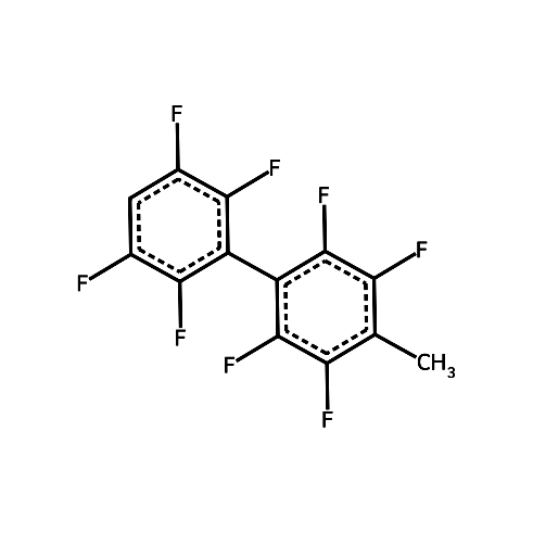 Cc1c(F)c(F)c(-c2c(F)c(F)cc(F)c2F)c(F)c1F